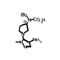 Cn1ncc(N)c1N1CC[C@H](N(C(=O)O)C(C)(C)C)C1